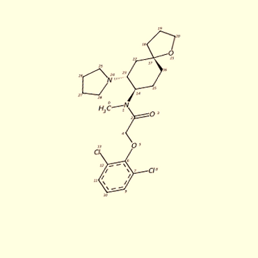 CN(C(=O)COc1c(Cl)cccc1Cl)[C@@H]1CC[C@]2(CCCO2)C[C@H]1N1CCCC1